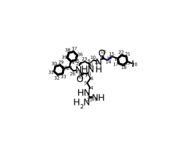 N=C(N)NCCC[C@@H]1N[C@H](CNC(=O)/C=C/c2ccc(I)cc2)CCN(CC(c2ccccc2)c2ccccc2)C1=O